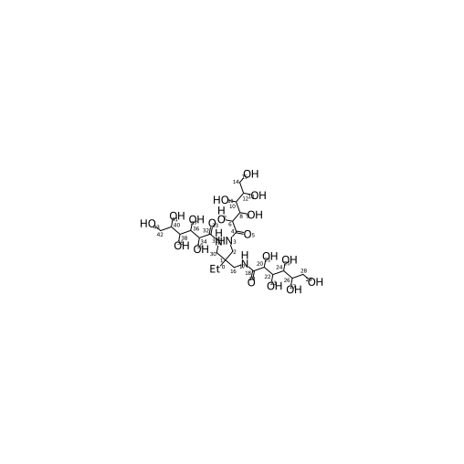 CCC(CNC(=O)C(O)C(O)C(O)C(O)CO)(CNC(=O)C(O)C(O)C(O)C(O)CO)CNC(=O)C(O)C(O)C(O)C(O)CO